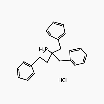 Cl.PC(CCc1ccccc1)(Cc1ccccc1)Cc1ccccc1